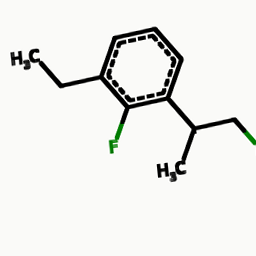 CCc1cccc([C](C)CF)c1F